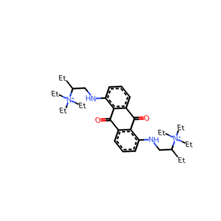 CCC(CNc1cccc2c1C(=O)c1cccc(NCC(CC)[N+](CC)(CC)CC)c1C2=O)[N+](CC)(CC)CC